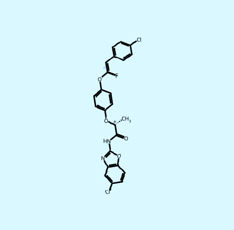 C[C@@H](Oc1ccc(O/C(F)=C/c2ccc(Cl)cc2)cc1)C(=O)Nc1nc2cc(Cl)ccc2o1